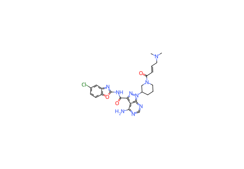 CN(C)C/C=C/C(=O)N1CCCC(n2nc(C(=O)Nc3nc4cc(Cl)ccc4o3)c3c(N)ncnc32)C1